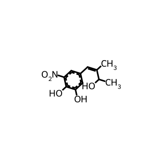 CC(=Cc1cc(O)c(O)c([N+](=O)[O-])c1)C(C)O